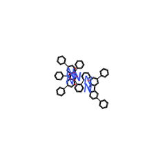 c1ccc(-c2ccc3c(c2)c2cc(-c4ccccc4)ccc2n3-c2cccnc2-c2c(-c3nc(-c4ccccc4)nc(-c4ccccc4)n3)cccc2-n2c3ccc(-c4ccccc4)cc3c3cc(-c4ccccc4)ccc32)cc1